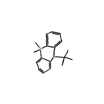 CC(C)(C)B1c2ccccc2[Si](C)(C)c2ccccc21